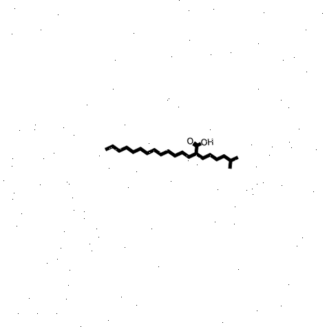 CCCCCCCCCCCCCC(CCCCC(C)C)C(=O)O